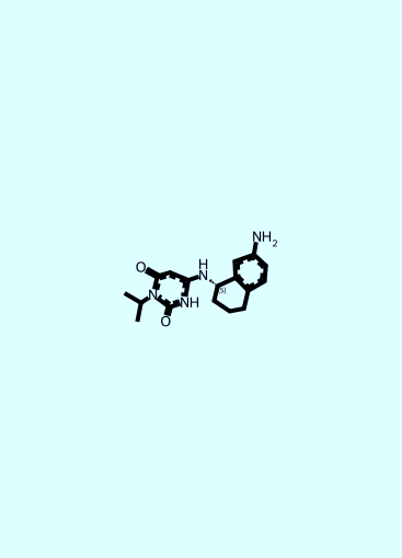 CC(C)n1c(=O)cc(N[C@H]2CCCc3ccc(N)cc32)[nH]c1=O